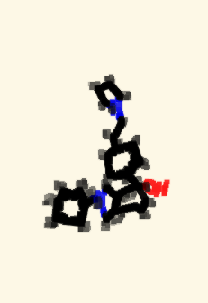 OC1(c2ccc(CCN3CCCC3)cc2)CCC2CN(c3ccccc3)CC21